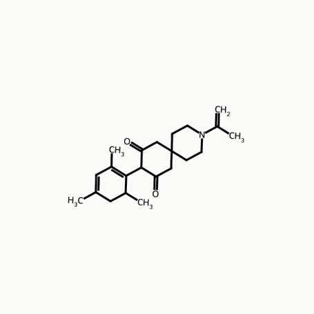 C=C(C)N1CCC2(CC1)CC(=O)C(C1=C(C)C=C(C)CC1C)C(=O)C2